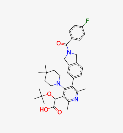 Cc1nc(C)c(C(OC(C)(C)C)C(=O)O)c(N2CCC(C)(C)CC2)c1-c1ccc2c(c1)CN(C(=O)c1ccc(F)cc1)C2